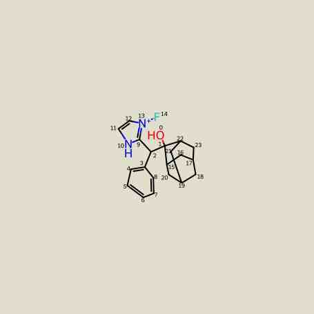 OC1(C(c2ccccc2)c2[nH]cc[n+]2F)C2CC3CC(C2)CC1C3